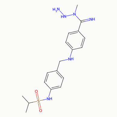 CC(C)S(=O)(=O)Nc1ccc(CNc2ccc(C(=N)N(C)NN)cc2)cc1